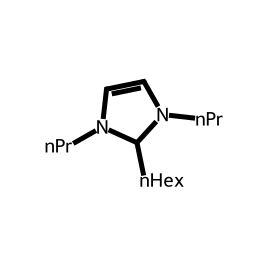 CCCCCCC1N(CCC)C=CN1CCC